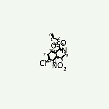 C=CCS(=O)(=O)c1nccc2c([N+](=O)[O-])c(Cl)ccc12